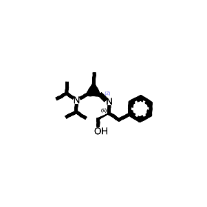 Cc1c(N(C(C)C)C(C)C)/c1=N\[C@H](CO)Cc1ccccc1